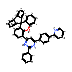 c1ccc(-c2nc(-c3ccc(-c4ccccn4)cc3)cc(-c3cccc4c3Oc3ccccc3C43c4ccccc4-c4ccccc43)n2)cc1